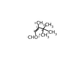 CC(=C[C]=O)C(C)(C)C